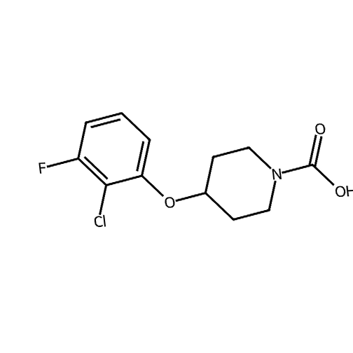 O=C(O)N1CCC(Oc2cccc(F)c2Cl)CC1